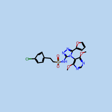 COc1ncnc(OC)c1-n1c(NS(=O)(=O)CCc2ccc(Cl)cc2)nnc1-c1ccco1